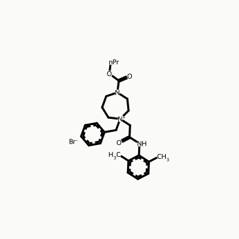 CCCOC(=O)N1CCC[N+](CC(=O)Nc2c(C)cccc2C)(Cc2ccccc2)CC1.[Br-]